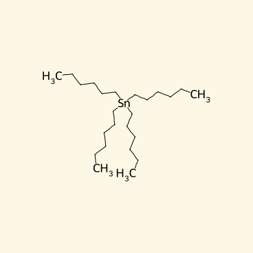 CCCCC[CH2][Sn]([CH2]CCCCC)([CH2]CCCCC)[CH2]CCCCC